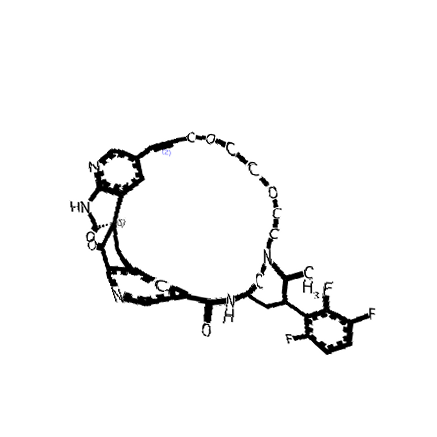 CC1C(c2c(F)ccc(F)c2F)CC2CN1CCOCCOC/C=C\c1cnc3c(c1)[C@]1(Cc4cc(cnc4C1=O)C(=O)N2)C(=O)N3